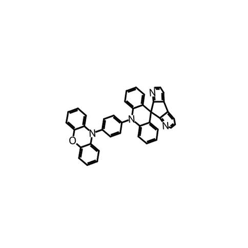 c1ccc2c(c1)Oc1ccccc1N2c1ccc(N2c3ccccc3C3(c4ccccc42)c2ncccc2-c2cccnc23)cc1